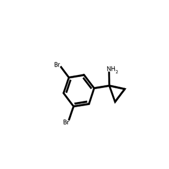 NC1(c2cc(Br)cc(Br)c2)CC1